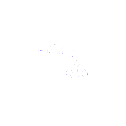 N#Cc1nc2cc(C(=O)NC3CCN(Cc4ccc(-n5c(-c6cccnc6N)nc6cccnc65)cc4)C(I)C3)ccc2s1